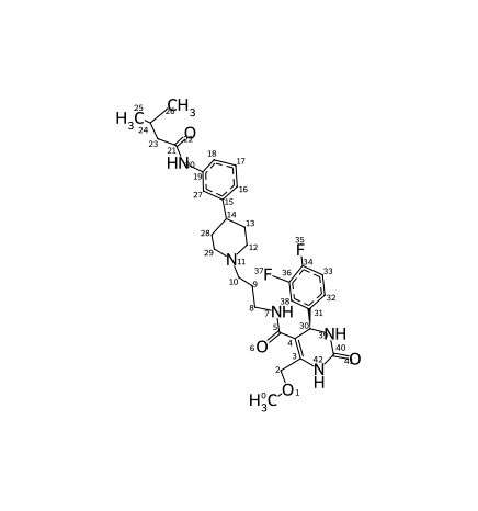 COCC1=C(C(=O)NCCCN2CCC(c3cccc(NC(=O)CC(C)C)c3)CC2)[C@@H](c2ccc(F)c(F)c2)NC(=O)N1